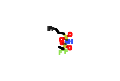 CC(C)CCCS(=O)(=O)NS(=O)(=O)C(C)(F)F